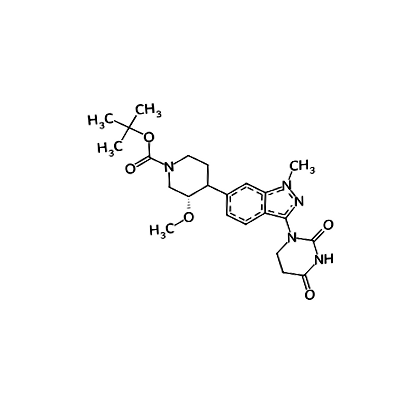 CO[C@@H]1CN(C(=O)OC(C)(C)C)CCC1c1ccc2c(N3CCC(=O)NC3=O)nn(C)c2c1